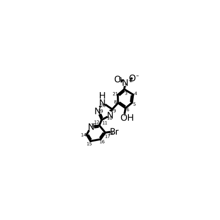 O=[N+]([O-])c1ccc(O)c(-c2nc(-c3ncccc3Br)n[nH]2)c1